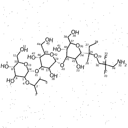 CCC(C)OC1C(O)[C@H](O)C(CO)O[C@@H]1OC1C(O)[C@@H](OC2C(O)[C@@H](C(C)(CC)OCC(F)(F)CN)OC(CO)[C@H]2O)OC(CO)[C@H]1O